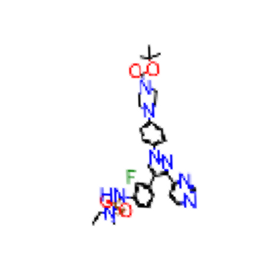 CCN(C)S(=O)(=O)Nc1cccc(-c2cn(-c3ccc(N4CCN(C(=O)OC(C)(C)C)CC4)cc3)nc2-c2ccncn2)c1F